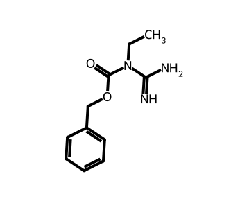 CCN(C(=N)N)C(=O)OCc1ccccc1